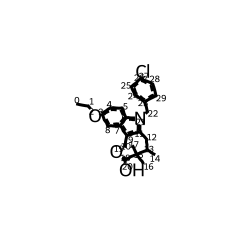 CCOc1ccc2c(c1)c(C)c(CC(C)C(C)(C)C(=O)O)n2Cc1ccc(Cl)cc1